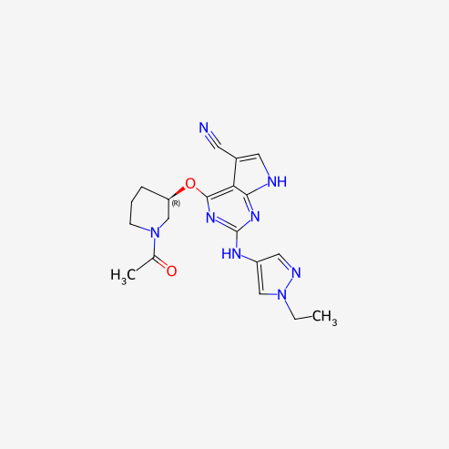 CCn1cc(Nc2nc(O[C@@H]3CCCN(C(C)=O)C3)c3c(C#N)c[nH]c3n2)cn1